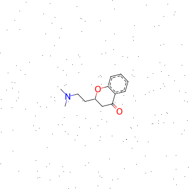 CN(C)CCC1CC(=O)c2ccccc2O1